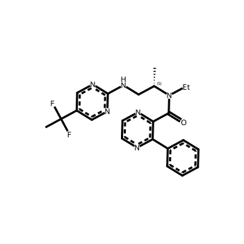 CCN(C(=O)c1nccnc1-c1ccccc1)[C@@H](C)CNc1ncc(C(C)(F)F)cn1